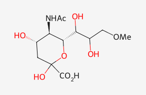 COCC(O)C(O)[C@@H]1OC(O)(C(=O)O)C[C@H](O)[C@H]1NC(C)=O